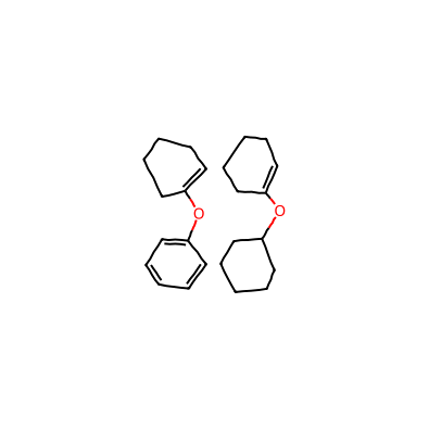 C1=C(OC2CCCCC2)CCCC1.C1=C(Oc2ccccc2)CCCC1